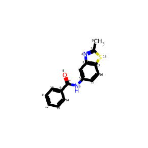 Cc1nc2cc(NC(=O)c3ccccc3)ccc2s1